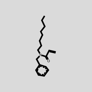 C=CC(=O)N(CCCCCCCC)Cc1ccccc1